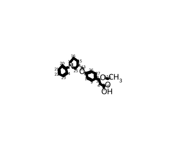 CCOC(CC(=O)O)c1ccc(OC[C@H]2CCCN(c3ccccc3)C2)cc1